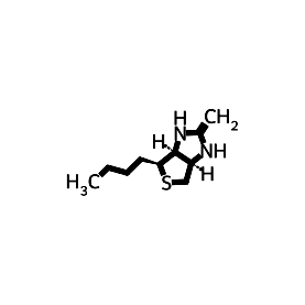 C=C1N[C@H]2[C@H](CS[C@H]2CCCC)N1